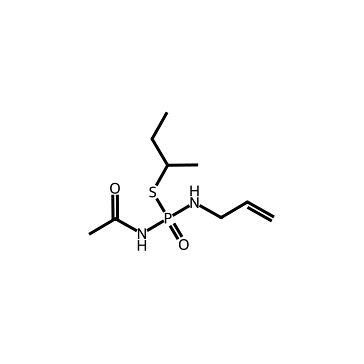 C=CCNP(=O)(NC(C)=O)SC(C)CC